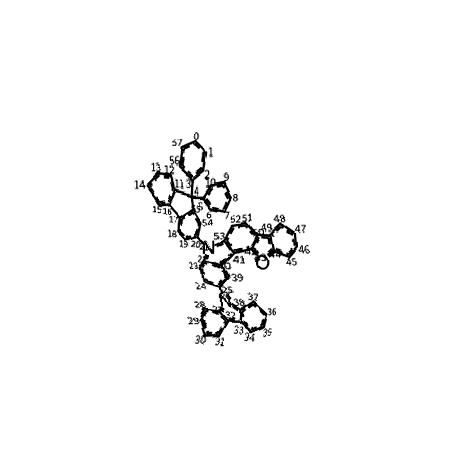 c1ccc(C2(c3ccccc3)c3ccccc3-c3ccc(-n4c5ccc(-n6c7ccccc7c7ccccc76)cc5c5c6oc7ccccc7c6ccc54)cc32)cc1